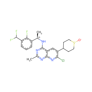 Cc1nc(N[C@H](C)c2cccc(C(F)F)c2F)c2cc(C3CC[S+]([O-])CC3)c(Cl)nc2n1